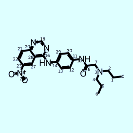 CCCN(CCC)CC(=O)Nc1ccc(Nc2ncnc3ccc([N+](=O)[O-])cc23)cc1